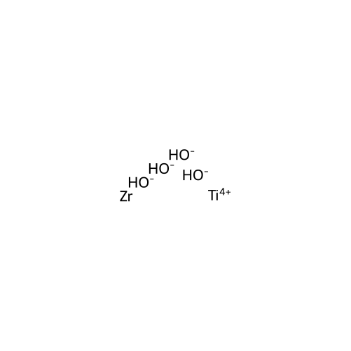 [OH-].[OH-].[OH-].[OH-].[Ti+4].[Zr]